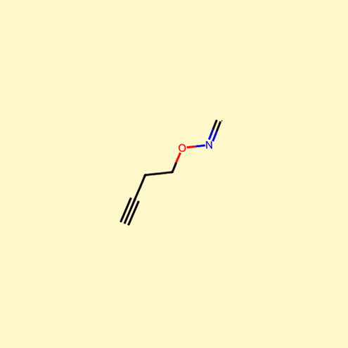 [CH]=NOCCC#C